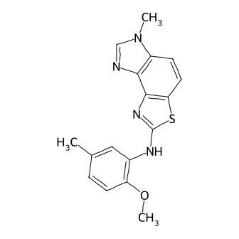 COc1ccc(C)cc1Nc1nc2c(ccc3c2ncn3C)s1